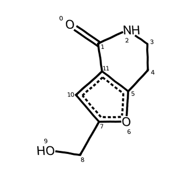 O=C1NCCc2oc(CO)cc21